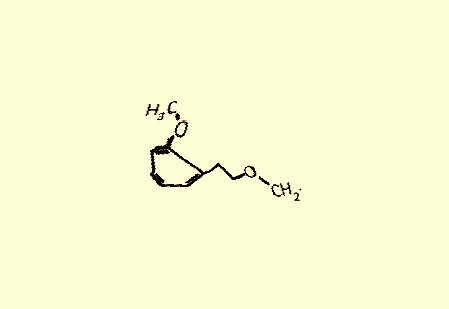 [CH2]OCCc1ccccc1OC